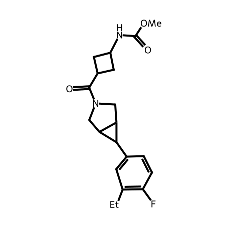 CCc1cc(C2C3CN(C(=O)C4CC(NC(=O)OC)C4)CC32)ccc1F